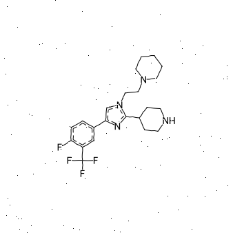 Fc1ccc(-c2cn(CCN3CCCCC3)c(C3CCNCC3)n2)cc1C(F)(F)F